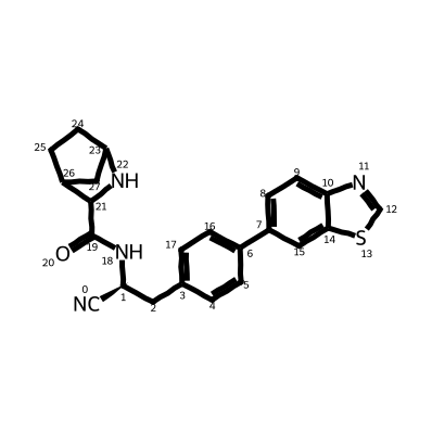 N#C[C@H](Cc1ccc(-c2ccc3ncsc3c2)cc1)NC(=O)C1NC2CCC1C2